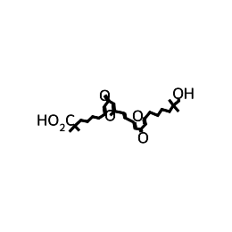 CC(C)(CO)CCCCc1cc(=O)cc(C=Cc2cc(=O)cc(CCCCC(C)(C)C(=O)O)o2)o1